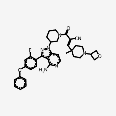 CC1(C=C(C#N)C(=O)N2CCCC(n3nc(-c4ccc(Oc5ccccc5)cc4F)c4c(N)nccc43)C2)CCN(C2COC2)CC1